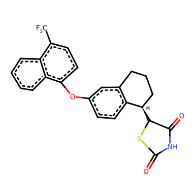 O=C1NC(=O)C([C@@H]2CCCc3cc(Oc4ccc(C(F)(F)F)c5ccccc45)ccc32)S1